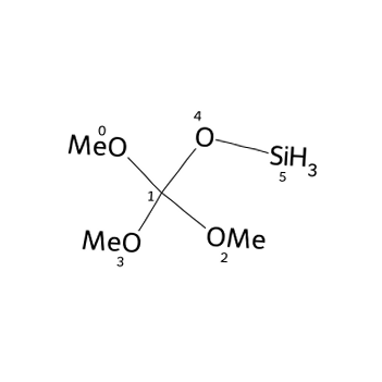 COC(OC)(OC)O[SiH3]